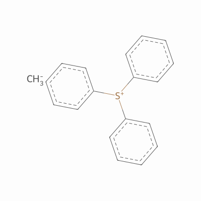 [CH3-].c1ccc([S+](c2ccccc2)c2ccccc2)cc1